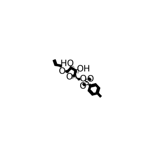 C=CCOC1O[C@H](COS(=O)(=O)c2ccc(C)cc2)[C@@H](O)[C@H]1O